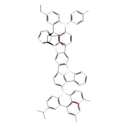 CCc1ccc(N(c2ccc(C)cc2)c2ccc3c4cc5c(cc4n4c6ccccc6c2c34)c2ccc(N(c3ccc(C)cc3)c3ccc(C(C)C)cc3-c3cccc(C)c3)c3c4ccccc4n5c23)c(-c2cccc(C)c2)c1